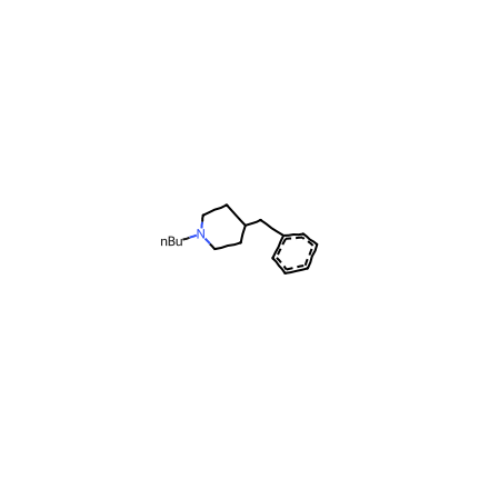 CCCCN1CCC(Cc2ccccc2)CC1